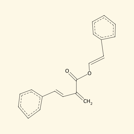 C=C(C=Cc1ccccc1)C(=O)OC=Cc1ccccc1